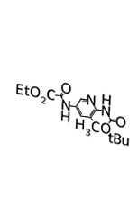 CCOC(=O)C(=O)Nc1cnc(NC(=O)OC(C)(C)C)c(C)c1